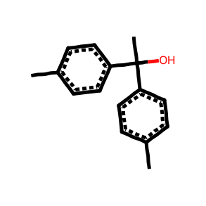 Cc1ccc(C(C)(O)c2ccc(C)cc2)cc1